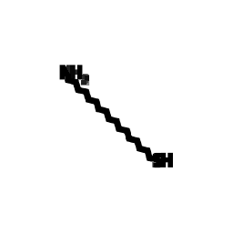 NCCCCCCCCCCCCCCCCCS